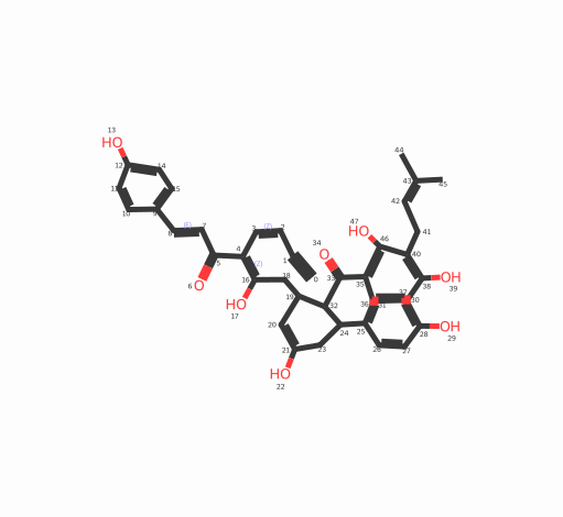 C#C/C=C\C(C(=O)/C=C/c1ccc(O)cc1)=C(\O)CC1C=C(O)CC(c2ccc(O)cc2)C1C(=O)c1ccc(O)c(CC=C(C)C)c1O